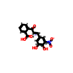 O=C(O)c1ccccc1C(=O)/C=C/c1cc(O)c(O)c([N+](=O)[O-])c1